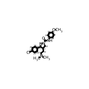 COc1ccc(NC(=O)N2CC(CCN(C)C)C(c3ccc(Cl)cc3)=N2)cc1